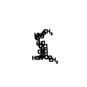 COCC(=O)Nc1cc(COc2ccc(NC(=O)Nc3cc(O)nn3-c3ccc(OC)cc3)c(Cl)c2Cl)ccn1